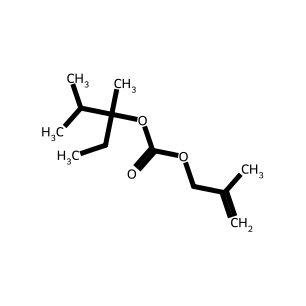 C=C(C)COC(=O)OC(C)(CC)C(C)C